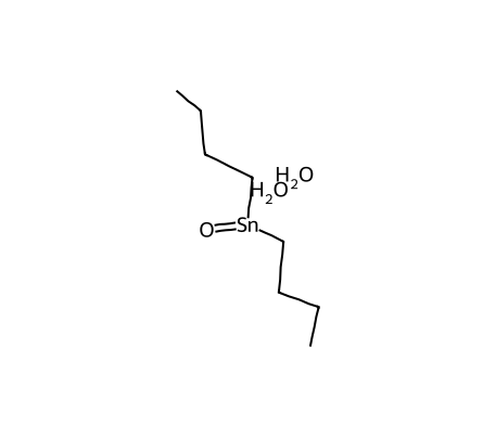 CCC[CH2][Sn](=[O])[CH2]CCC.O.O